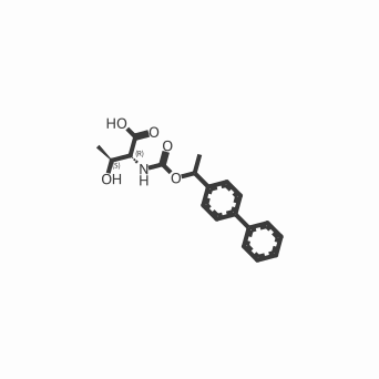 CC(OC(=O)N[C@@H](C(=O)O)[C@H](C)O)c1ccc(-c2ccccc2)cc1